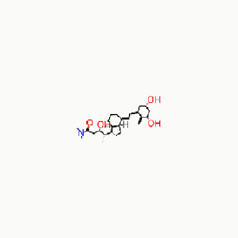 C=C1/C(=C\C=C2CCC[C@]3(C)[C@@H]([C@H](C)C(O)CC(=O)N(C)C)CC[C@@H]23)C[C@H](O)C[C@H]1O